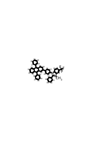 CN1c2cc(C(F)(F)F)ccc2N(c2ccc(-c3ccc4c(-c5ccccc5)c5ccccc5c(-c5ccccc5)c4c3)cc2)C1c1ccccc1